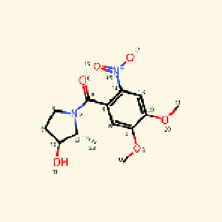 COc1cc(C(=O)N2CC[C@H](O)[C@H]2C)c([N+](=O)[O-])cc1OC